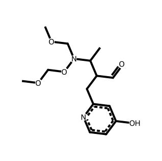 COCON(COC)C(C)C(C=O)Cc1cc(O)ccn1